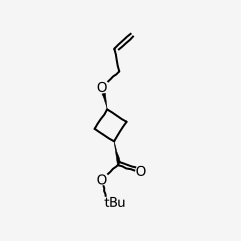 C=CCO[C@H]1C[C@@H](C(=O)OC(C)(C)C)C1